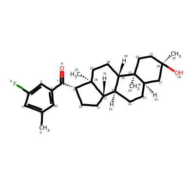 Cc1cc(F)cc(C(=O)[C@H]2CC[C@H]3[C@@H]4CC[C@@H]5C[C@](C)(O)CC[C@]5(C)[C@H]4CC[C@]23C)c1